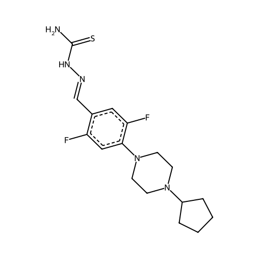 NC(=S)N/N=C/c1cc(F)c(N2CCN(C3CCCC3)CC2)cc1F